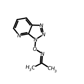 CC(C)=NOn1nnc2cccnc21